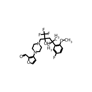 COc1ccc(F)cc1C(C)(C)CC(O)(CN1CCN(c2ccoc2C=O)CC1)C(F)(F)F